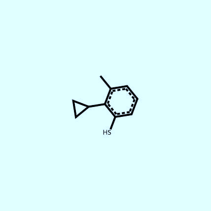 Cc1cccc(S)c1C1CC1